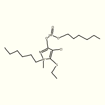 CCCCCCO[PH](=O)OC1=N[N+](C)(CCCCCC)C(SCC)=C1Cl